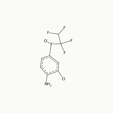 Nc1ccc([S+]([O-])C(F)(F)C(F)F)cc1Cl